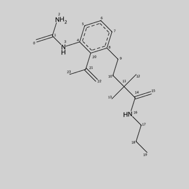 C=C(N)Nc1cccc(CCC(C)(C)C(=C)NCCC)c1C(=C)C